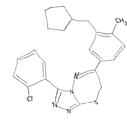 Cc1ccc(C2=Nn3c(nnc3-c3ccccc3Cl)SC2)cc1CC1CCCC1